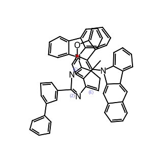 CC1C/C=C(c2ccc3oc4ccccc4c3c2-n2c3ccccc3c3cc4ccccc4cc32)/N=C(c2cccc(-c3ccccc3)c2)\N=C/1n1c2ccccc2c2ccccc21